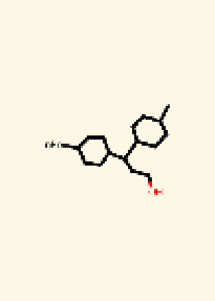 CCCC1CCC(C(CCO)C2CCC(C)CC2)CC1